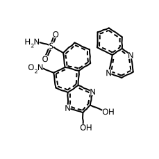 NS(=O)(=O)c1cccc2c1c([N+](=O)[O-])cc1nc(O)c(O)nc12.c1ccc2nccnc2c1